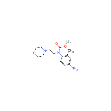 Cc1cc(N)ccc1N(CCN1CCOCC1)C(=O)OC(C)(C)C